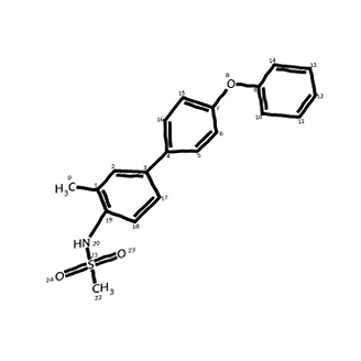 Cc1cc(-c2ccc(Oc3ccccc3)cc2)ccc1NS(C)(=O)=O